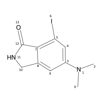 CN(C)c1cc(I)c2c(c1)CNC2=O